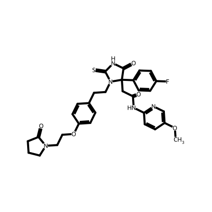 COc1ccc(NC(=O)CC2(c3ccc(F)cc3)C(=O)NC(=S)N2CCc2ccc(OCCN3CCCC3=O)cc2)nc1